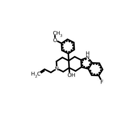 C=CCN1CCC2(c3cccc(OC)c3)Cc3[nH]c4ccc(F)cc4c3CC2(O)C1